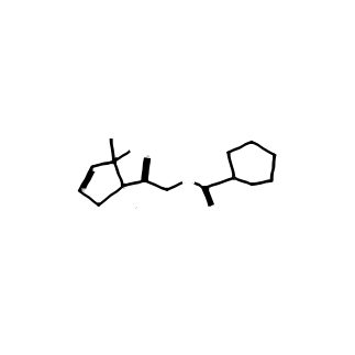 CC1(C)C=CC[C@]1(C)C(=O)COC(=O)C1CCCCC1